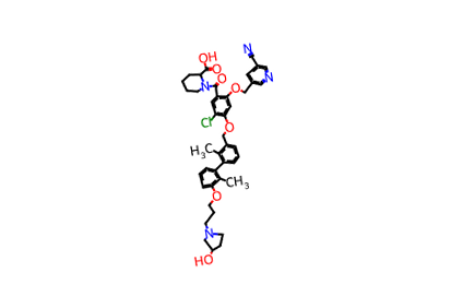 Cc1c(COc2cc(OCc3cncc(C#N)c3)c(C(=O)N3CCCCC3C(=O)O)cc2Cl)cccc1-c1cccc(OCCCN2CCC(O)C2)c1C